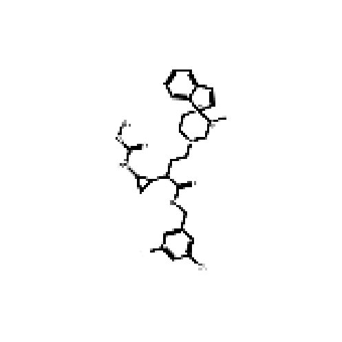 C[C@H]1CN(CCC(C(=O)NCc2cc(C(F)(F)F)cc(C(F)(F)F)c2)C2CC2NC(=O)OC(C)(C)C)CC[C@@]12C=Cc1ccccc12